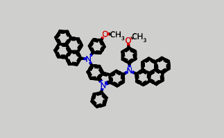 COc1ccc(N(c2ccc3c(c2)c2cc(N(c4ccc(OC)cc4)c4ccc5ccc6cccc7ccc4c5c67)ccc2n3-c2ccccc2)c2ccc3ccc4cccc5ccc2c3c45)cc1